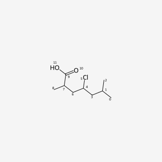 CC(C)CC(Cl)CC(C)C(=O)O